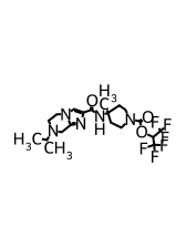 CC(C)N1CCn2cc(C(=O)NC3(C)CCN(C(=O)OC(C(F)(F)F)C(F)(F)F)CC3)nc2C1